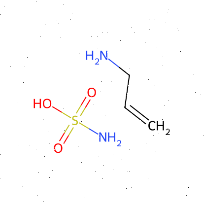 C=CCN.NS(=O)(=O)O